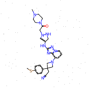 CSc1ccc(C2(CC#N)CN(c3cccn4nc(NC5=CN(CC(=O)N6CCN(C)CC6)NC5)nc34)C2)cc1